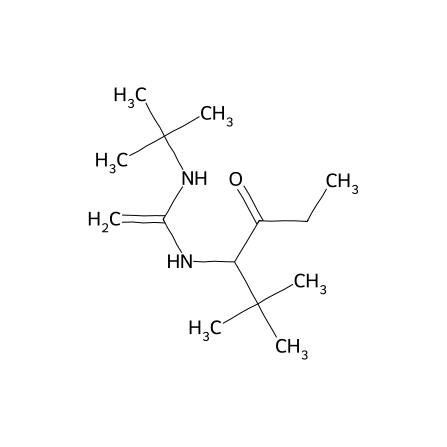 C=C(NC(C(=O)CC)C(C)(C)C)NC(C)(C)C